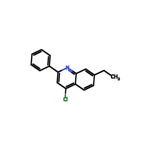 CCc1ccc2c(Cl)cc(-c3ccccc3)nc2c1